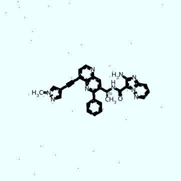 C[C@H](NC(=O)c1c(N)nc2cccnn12)c1cc2nccc(C#Cc3cnn(C)c3)c2nc1-c1ccccc1